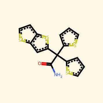 NC(=O)C(c1cccs1)(c1cccs1)c1cc2sccc2s1